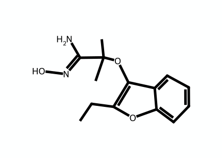 CCc1oc2ccccc2c1OC(C)(C)C(N)=NO